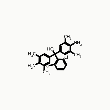 Cc1cc(C(O)(c2cc(C)c(N)c(C)c2)c2c(Cl)cccc2Cl)cc(C)c1N